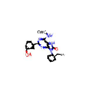 CC(C)Cc1ccccc1-n1c(=O)[nH]c2c(NC=O)nc(-c3cccc(O)c3)nc21